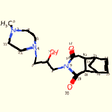 CN1CCN(CC(O)CN2C(=O)C3C4C=CC(C4)C3C2=O)CC1